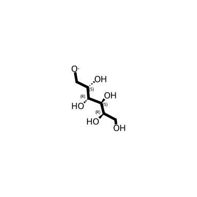 [O]C[C@H](O)[C@@H](O)[C@@H](O)[C@H](O)CO